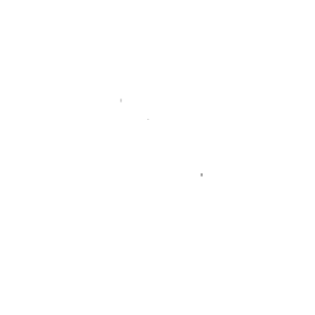 CCCC1=CC(CCC)(CCC)Oc2cccc(O)c21